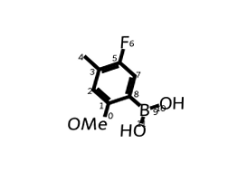 COc1cc(C)c(F)cc1B(O)O